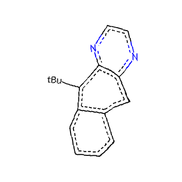 CC(C)(C)c1c2ccccc2cc2nccnc12